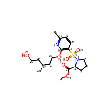 COC(=O)[C@@H]1CCCN1S(=O)(=O)c1ccc(C)nc1OCC[C@H](C)CCO